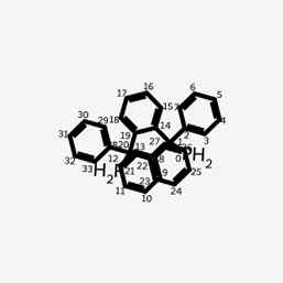 PC(c1ccccc1)(c1ccccc1)c1ccccc1C(P)(c1ccccc1)c1ccccc1